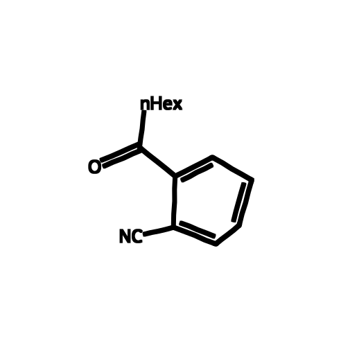 CCCCCCC(=O)c1ccccc1C#N